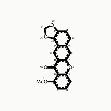 COc1cccc2oc3cc4ccc5c(c4cc3c(=O)c12)OCO5